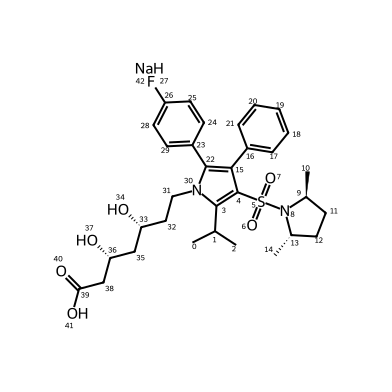 CC(C)c1c(S(=O)(=O)N2[C@@H](C)CC[C@@H]2C)c(-c2ccccc2)c(-c2ccc(F)cc2)n1CC[C@@H](O)C[C@@H](O)CC(=O)O.[NaH]